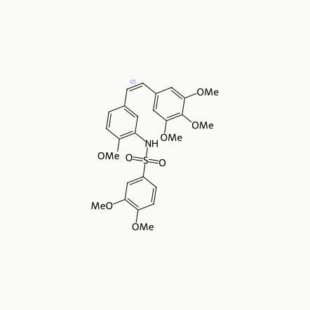 COc1ccc(/C=C\c2cc(OC)c(OC)c(OC)c2)cc1NS(=O)(=O)c1ccc(OC)c(OC)c1